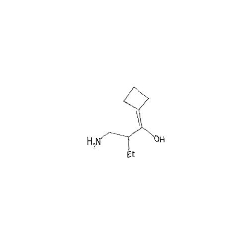 CCC(CN)C(O)=C1CCC1